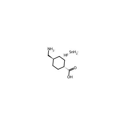 F.NC[C@H]1CC[C@H](C(=O)O)CC1.[SnH2]